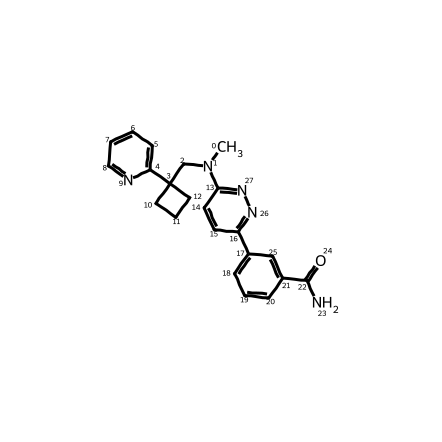 CN(CC1(c2ccccn2)CCC1)c1ccc(-c2cccc(C(N)=O)c2)nn1